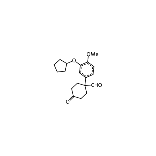 COc1ccc(C2(C=O)CCC(=O)CC2)cc1OC1CCCC1